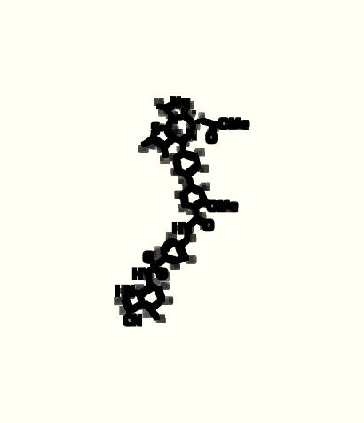 COC(=O)C[C@@H]1N=C(c2ccc(-c3ccc(C(=O)NCc4ccc(S(=O)(=O)Nc5ccc(C)c6c(C#N)c[nH]c56)cc4)c(OC)c3)cc2)c2c(sc(C)c2C)-n2c(C)nnc21